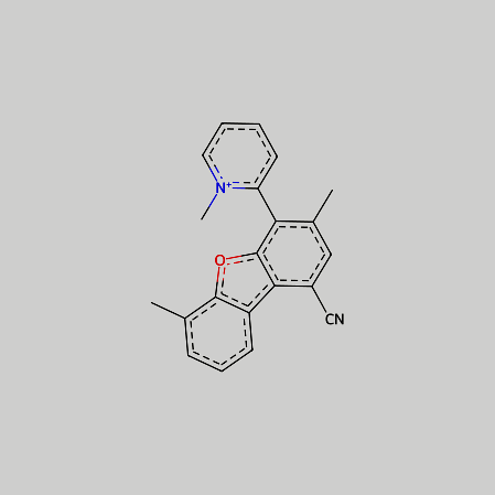 Cc1cc(C#N)c2c(oc3c(C)cccc32)c1-c1cccc[n+]1C